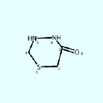 O=C1[C]SCNN1